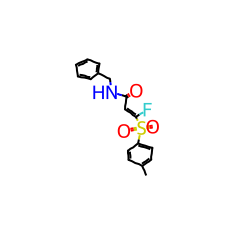 Cc1ccc(S(=O)(=O)C(F)=CC(=O)NCc2ccccc2)cc1